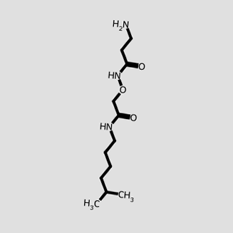 CC(C)CCCCNC(=O)CONC(=O)CCN